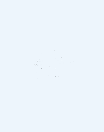 COc1cccc(OC)c1P(c1cccc(F)c1O)c1c(OC)cccc1OC